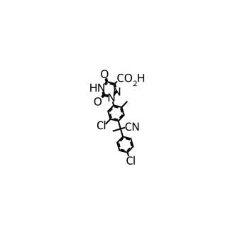 Cc1cc(C(C)(C#N)c2ccc(Cl)cc2)c(Cl)cc1-n1nc(C(=O)O)c(=O)[nH]c1=O